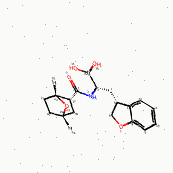 O=C(N[C@@H](C[C@H]1COc2ccccc21)B(O)O)[C@@H]1C[C@@H]2CC[C@H]1O2